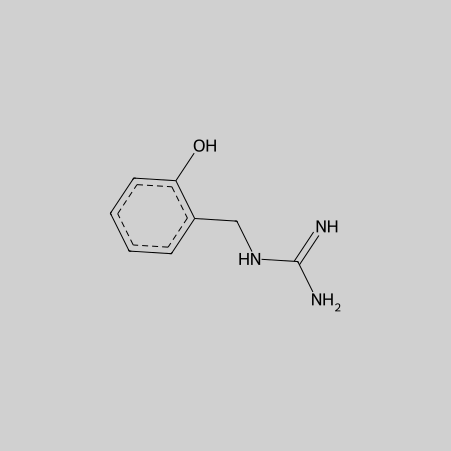 N=C(N)NCc1ccccc1O